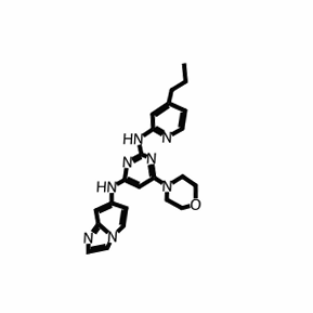 CCCc1ccnc(Nc2nc(Nc3ccn4ccnc4c3)cc(N3CCOCC3)n2)c1